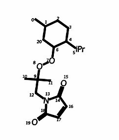 CC1CCC(C(C)C)C(OOC(C)(C)CN2C(=O)C=CC2=O)C1